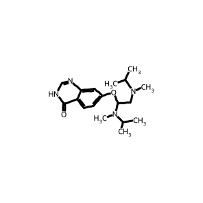 CC(C)N(C)CC(Oc1ccc2c(=O)[nH]cnc2c1)N(C)C(C)C